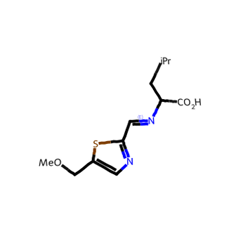 COCc1cnc(/C=N/C(CC(C)C)C(=O)O)s1